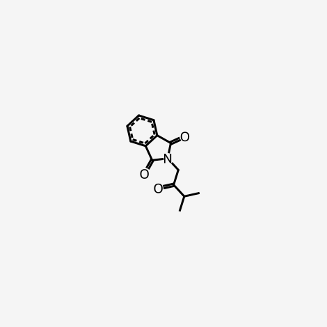 CC(C)C(=O)CN1C(=O)c2ccccc2C1=O